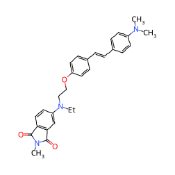 CCN(CCOc1ccc(C=Cc2ccc(N(C)C)cc2)cc1)c1ccc2c(c1)C(=O)N(C)C2=O